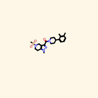 Cc1cccc(C2CCN(C(=O)c3nn(C)c4c3CN(S(C)(=O)=O)CC4)CC2)c1C